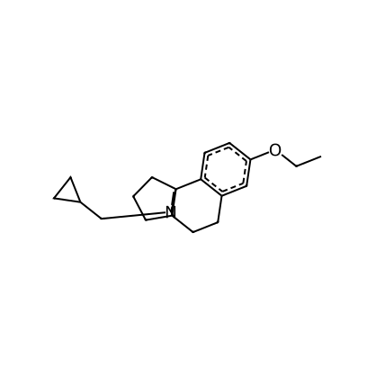 CCOc1ccc2c(c1)CCC13CCCC21CCN(CC1CC1)C3